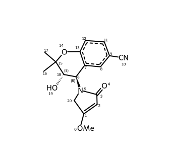 COC1=CC(=O)N([C@@H]2c3cc(C#N)ccc3OC(C)(C)[C@H]2O)C1